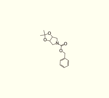 CC1(C)OC2CN(C(=O)OCc3ccccc3)CC2O1